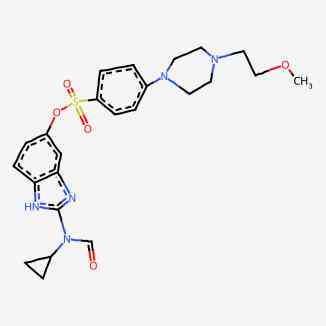 COCCN1CCN(c2ccc(S(=O)(=O)Oc3ccc4[nH]c(N(C=O)C5CC5)nc4c3)cc2)CC1